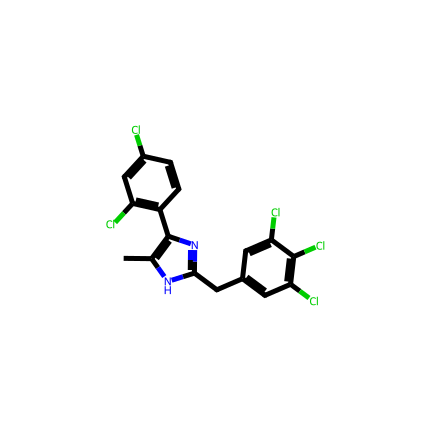 Cc1[nH]c(Cc2cc(Cl)c(Cl)c(Cl)c2)nc1-c1ccc(Cl)cc1Cl